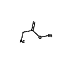 C=C(CC(C)=O)OCC